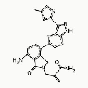 C=C(CN1Cc2c(-c3ccc4[nH]nc(-c5cc(C)cs5)c4c3)ccc(N)c2C1=O)C(N)=O